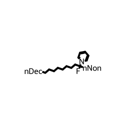 CCCCCCCCCCCCCCCCCCC(F)(CCCCCCCCC)[n+]1ccccc1